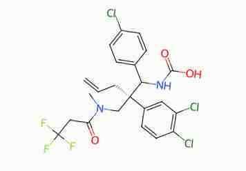 C=CC[C@@](CN(C)C(=O)CC(F)(F)F)(c1ccc(Cl)c(Cl)c1)C(NC(=O)O)c1ccc(Cl)cc1